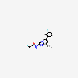 Cc1c(F)cccc1-c1cc(C(F)(F)F)c2nc(NC(=O)C3CC3F)cn2c1